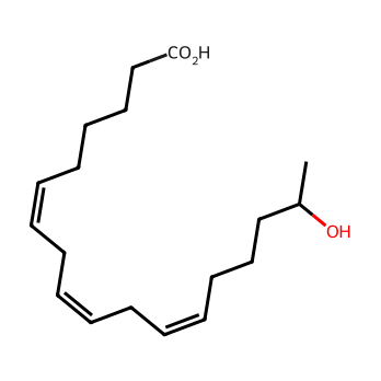 CC(O)CCC/C=C\C/C=C\C/C=C\CCCCC(=O)O